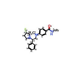 CCCNC(=O)c1ccc(N(C)C[C@@H](c2ccccc2)N2CC[C@@H](F)C2)cc1